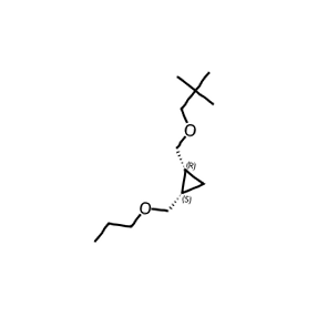 CCCOC[C@H]1C[C@H]1COCC(C)(C)C